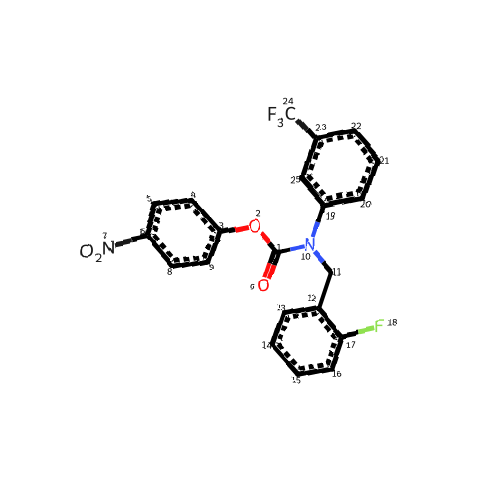 O=C(Oc1ccc([N+](=O)[O-])cc1)N(Cc1ccccc1F)c1cccc(C(F)(F)F)c1